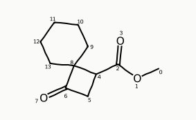 COC(=O)C1CC(=O)C12CCCCC2